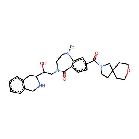 CCN1CCN(CC(O)C2Cc3ccccc3CN2)C(=O)c2ccc(C(=O)N3CCC4(CCOCC4)C3)cc21